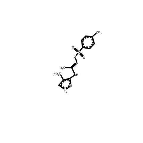 CCOC(=O)c1c[nH]nc1N/C(C)=N/OS(=O)(=O)c1ccc(C)cc1